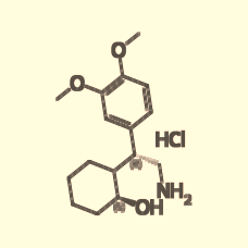 COc1ccc([C@H](CN)C2CCCC[C@@H]2O)cc1OC.Cl